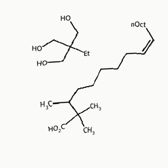 CCC(CO)(CO)CO.CCCCCCCC/C=C\CCCCCC(C)C(C)(C)C(=O)O